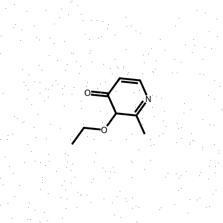 CCOC1C(=O)C=CN=C1C